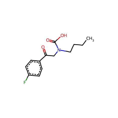 CCCCN(CC(=O)c1ccc(F)cc1)C(=O)O